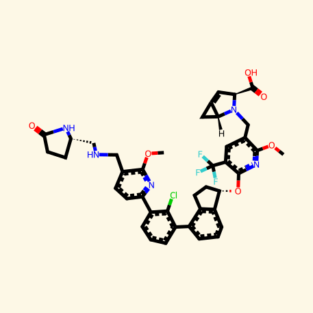 COc1nc(-c2cccc(-c3cccc4c3CC[C@@H]4Oc3nc(OC)c(CN4[C@@H]5CC5=C[C@H]4C(=O)O)cc3C(F)(F)F)c2Cl)ccc1CNC[C@@H]1CCC(=O)N1